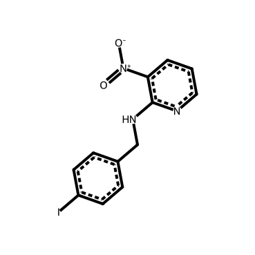 O=[N+]([O-])c1cccnc1NCc1ccc(I)cc1